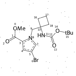 COC(=O)c1cc(Br)cn1CC1(NC(=O)OC(C)(C)C)CCC1